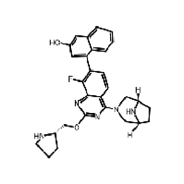 Oc1cc(-c2ccc3c(N4C[C@H]5CC[C@@H](C4)N5)nc(OC[C@@H]4CCCN4)nc3c2F)c2ccccc2c1